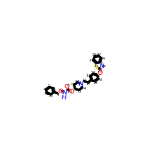 O=C(NOCc1ccccc1)OC1CCN(CCc2ccc(Oc3nc4ccccc4s3)cc2)CC1